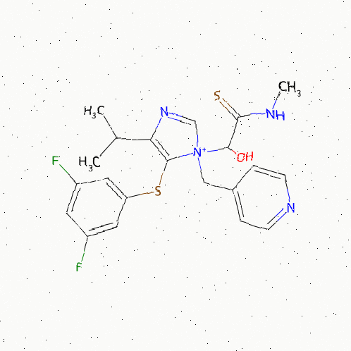 CNC(=S)C(O)[N+]1(Cc2ccncc2)C=NC(C(C)C)=C1Sc1cc(F)cc(F)c1